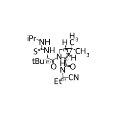 CC[C@@H](C#N)NC(=O)[C@@H]1[C@@H]2[C@H](CN1C(=O)[C@@H](NC(=S)NC(C)C)C(C)(C)C)C2(C)C